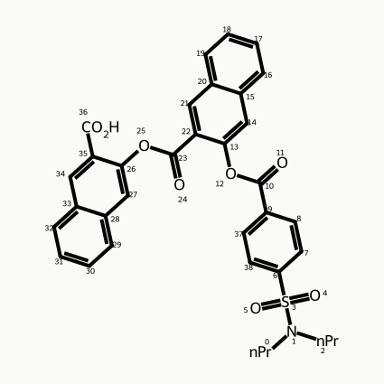 CCCN(CCC)S(=O)(=O)c1ccc(C(=O)Oc2cc3ccccc3cc2C(=O)Oc2cc3ccccc3cc2C(=O)O)cc1